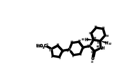 CCOC(=O)N1CCC(N2CCC(N3C(=O)N[C@@H]4CCCC[C@@H]43)CC2)C1